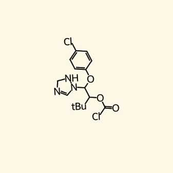 CC(C)(C)C(OC(=O)Cl)C(Oc1ccc(Cl)cc1)N1C=NCN1